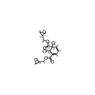 O=C(OCC1CO1)C1=CC=CC(Cl)(C(=O)OCC2CO2)C1Cl